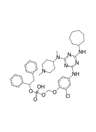 CN1CCC(N(C)c2nc(Nc3ccc(OCOP(=O)(O)OC(Cc4ccccc4)c4ccccc4)c(Cl)c3)nc(NC3CCCCCC3)n2)CC1